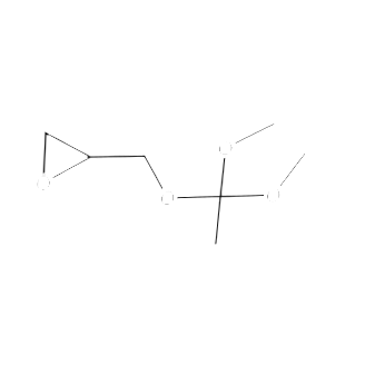 COC(C)(OC)OCC1CO1